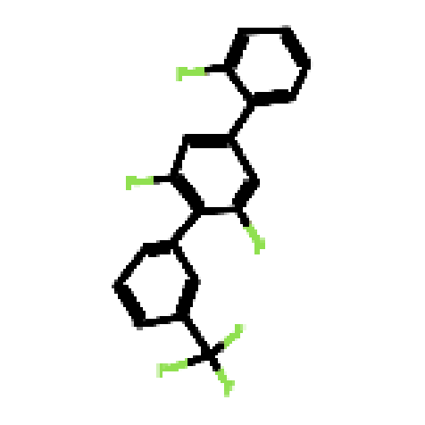 Fc1ccccc1-c1cc(F)c(-c2cc[c]c(C(F)(F)F)c2)c(F)c1